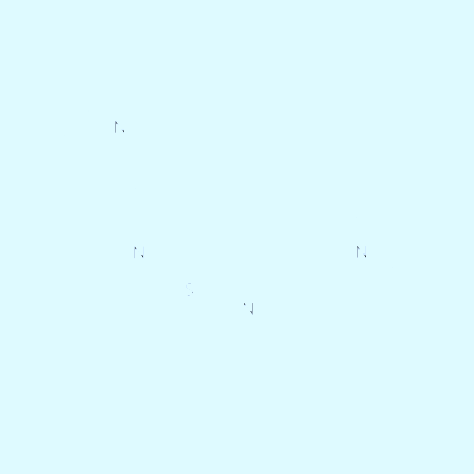 c1ccc(-n2c3ccccc3c3cc4c5ccccc5n(-c5ccc(-n6c7ccccc7c7cc8c9ccccc9n(-c9ccccc9)c8cc76)s5)c4cc32)cc1